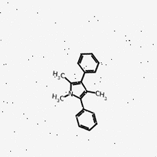 Cc1c(-c2ccccc2)c(C)n(C)c1-c1ccccc1